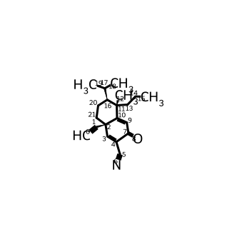 C#C[C@]12C=C(C#N)C(=O)C=C1[C@@](C)(CCC)[C@H](C(C)C)CC2